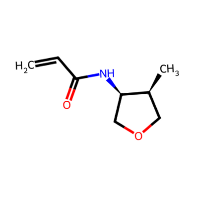 C=CC(=O)N[C@@H]1COC[C@@H]1C